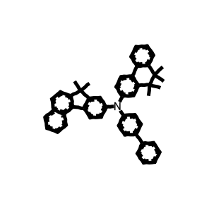 CC1(C)c2cc(N(c3ccc(-c4ccccc4)cc3)c3ccc4c(c3)C(C)(C)C(C)(C)c3ccccc3-4)ccc2-c2c1ccc1ccccc21